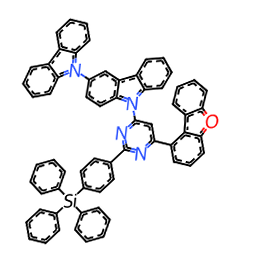 c1ccc([Si](c2ccccc2)(c2ccccc2)c2ccc(-c3nc(-c4cccc5oc6ccccc6c45)cc(-n4c5ccccc5c5cc(-n6c7ccccc7c7ccccc76)ccc54)n3)cc2)cc1